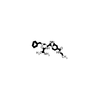 C=C(N)C(=O)N[C@H](COCc1ccccc1)c1nnc2n1CCC(C(=O)NCC)C2